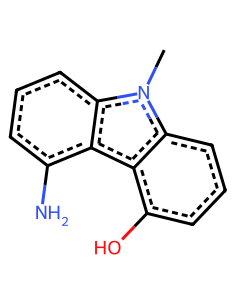 Cn1c2cccc(N)c2c2c(O)cccc21